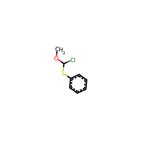 COC(Cl)Sc1ccccc1